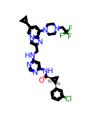 O=C(Nc1cc(NCc2cn3cc(C4CC4)cc(N4CCN(CC(F)(F)F)CC4)c3n2)ncn1)[C@H]1C[C@@H]1c1cccc(Cl)c1